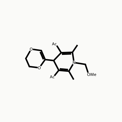 COCN1C(C)=C(C(C)=O)C(C2=COCCO2)C(C(C)=O)=C1C